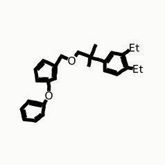 CCc1ccc(C(C)(C)COCc2cccc(Oc3ccccc3)c2)cc1CC